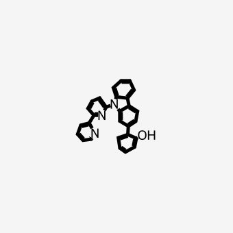 Oc1ccccc1-c1ccc2c3ccccc3n(-c3cccc(-c4ccccn4)n3)c2c1